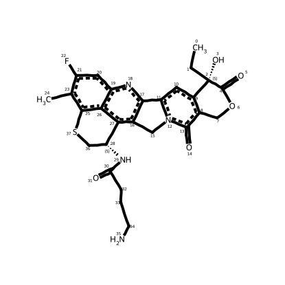 CC[C@@]1(O)C(=O)OCc2c1cc1n(c2=O)Cc2c-1nc1cc(F)c(C)c3c1c2[C@H](NC(=O)CCCN)CS3